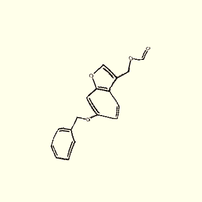 O=COCc1coc2cc(OCc3ccccc3)ccc12